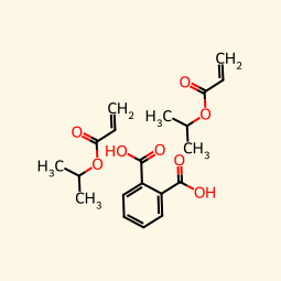 C=CC(=O)OC(C)C.C=CC(=O)OC(C)C.O=C(O)c1ccccc1C(=O)O